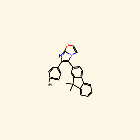 CC(C)c1ccc(-c2nc3occn3c2-c2ccc3c(c2)C(C)(C)c2ccccc2-3)cc1